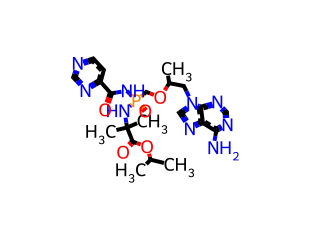 CC(C)OC(=O)C(C)(C)NP(=O)(COC(C)Cn1cnc2c(N)ncnc21)NC(=O)c1ccncn1